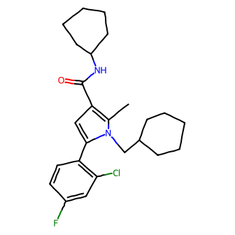 Cc1c(C(=O)NC2CCCCC2)cc(-c2ccc(F)cc2Cl)n1CC1CCCCC1